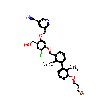 Cc1c(COc2cc(OCc3cncc(C#N)c3)c(CO)cc2Cl)cccc1-c1cccc(OCCCBr)c1C